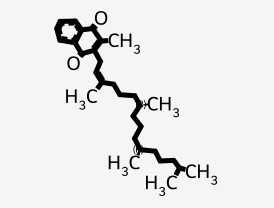 CC(=CCC1=C(C)C(=O)c2ccccc2C1=O)CCC[C@H](C)CCC[C@H](C)CCCC(C)C